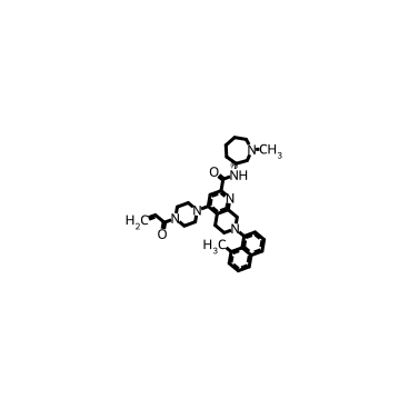 C=CC(=O)N1CCN(c2cc(C(=O)N[C@@H]3CCCCN(C)C3)nc3c2CCN(c2cccc4cccc(C)c24)C3)CC1